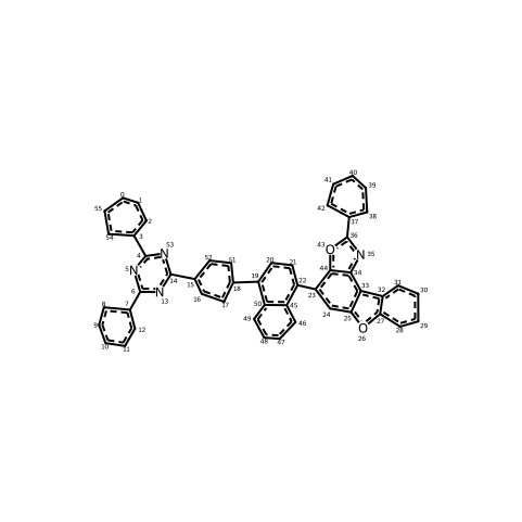 c1ccc(-c2nc(-c3ccccc3)nc(-c3ccc(-c4ccc(-c5cc6oc7ccccc7c6c6nc(-c7ccccc7)oc56)c5ccccc45)cc3)n2)cc1